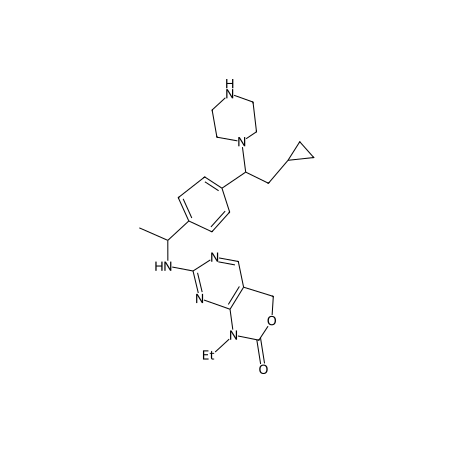 CCN1C(=O)OCc2cnc(NC(C)c3ccc(C(CC4CC4)N4CCNCC4)cc3)nc21